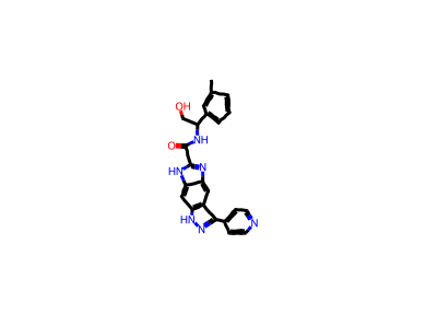 Cc1cccc(C(CO)NC(=O)c2nc3cc4c(-c5ccncc5)n[nH]c4cc3[nH]2)c1